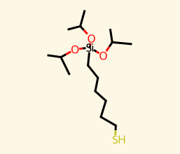 CC(C)O[Si](CCCCCCS)(OC(C)C)OC(C)C